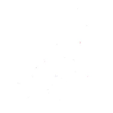 COC(=O)CN(C(=O)CSC(=O)CC(C)C)c1c(C)ccc(C)c1C